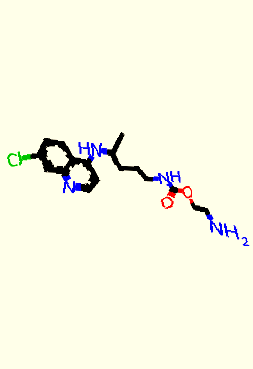 CC(CCCNC(=O)OCCN)Nc1ccnc2cc(Cl)ccc12